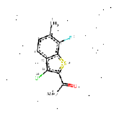 COC(=O)c1sc2c(F)c(C)ccc2c1Cl